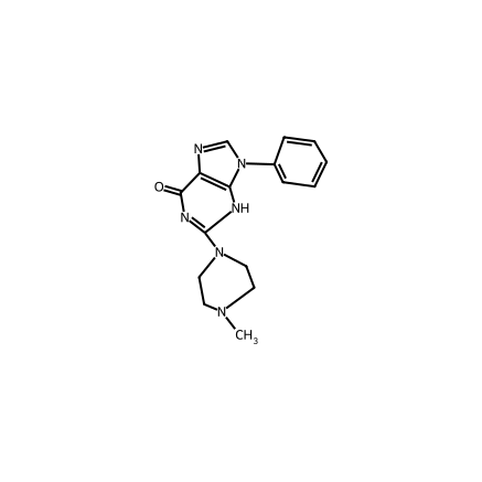 CN1CCN(c2nc(=O)c3ncn(-c4ccccc4)c3[nH]2)CC1